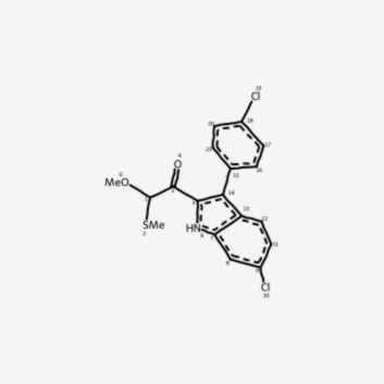 COC(SC)C(=O)c1[nH]c2cc(Cl)ccc2c1-c1ccc(Cl)cc1